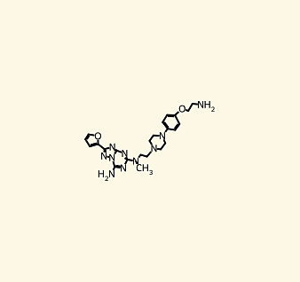 CN(CCN1CCN(c2ccc(OCCN)cc2)CC1)c1nc(N)n2nc(-c3ccco3)nc2n1